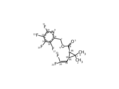 CC1(C)[C@H](C(=O)OCc2nc(F)c(F)c(F)c2F)[C@@H]1C=C(F)F